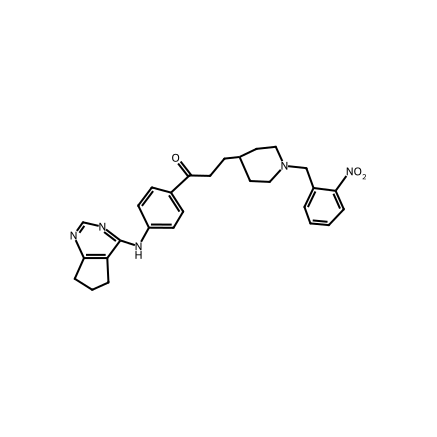 O=C(CCC1CCN(Cc2ccccc2[N+](=O)[O-])CC1)c1ccc(Nc2ncnc3c2CCC3)cc1